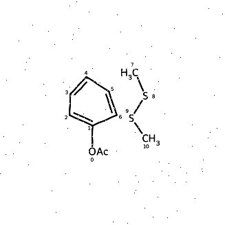 CC(=O)Oc1ccccc1.CSSC